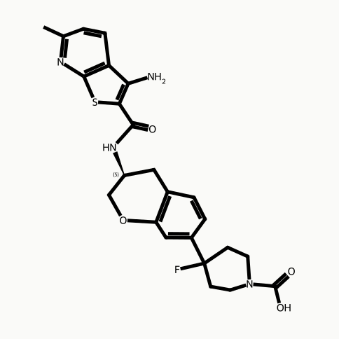 Cc1ccc2c(N)c(C(=O)N[C@@H]3COc4cc(C5(F)CCN(C(=O)O)CC5)ccc4C3)sc2n1